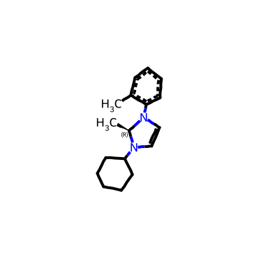 Cc1ccccc1N1C=CN(C2CCCCC2)[C@H]1C